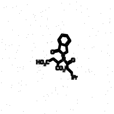 CC(C)CCC(=O)N(C(CC(=O)O)C(=O)O)N1Cc2ccccc2C1=O